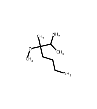 COC(C)(CCCN)C(C)N